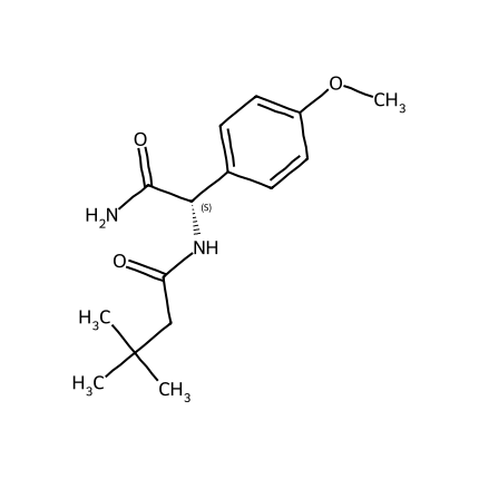 COc1ccc([C@H](NC(=O)CC(C)(C)C)C(N)=O)cc1